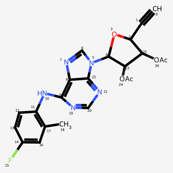 C#CC1OC(n2cnc3c(Nc4ccc(F)cc4C)ncnc32)C(OC(C)=O)C1OC(C)=O